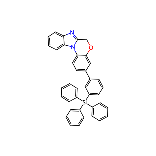 c1ccc([Si](c2ccccc2)(c2ccccc2)c2cccc(-c3ccc4c(c3)OCc3nc5ccccc5n3-4)c2)cc1